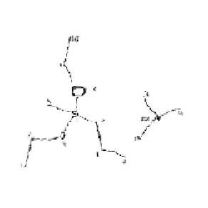 CCC[Si](C)(OCC)OCC.CN(C)C